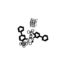 O=CN(CN(C=O)c1cc(-c2ccccc2)ccc1P(=O)([O-])[O-])c1cc(-c2ccccc2)ccc1P(=O)([O-])[O-].[Na+].[Na+].[Na+].[Na+]